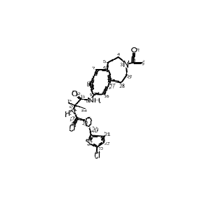 CC(=O)N1CCc2ccc(NC(=O)C(C)(C)NC(=O)Oc3ccc(Cl)s3)cc2CC1